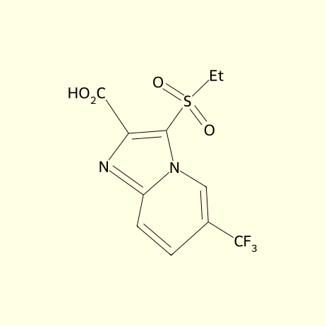 CCS(=O)(=O)c1c(C(=O)O)nc2ccc(C(F)(F)F)cn12